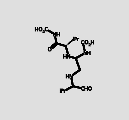 CC(C)C(C=O)NCC(NC(=O)O)N[C@H](C(=O)NC(=O)O)C(C)C